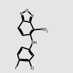 O=[N+]([O-])c1c(Nc2ccc(F)c(Cl)c2)ccc2nonc12